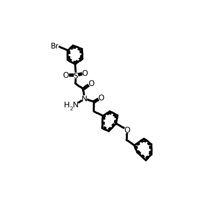 NN(C(=O)Cc1ccc(OCc2ccccc2)cc1)C(=O)CS(=O)(=O)c1cccc(Br)c1